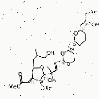 COC(=O)/C=C1\CC(CC(C)CO)O[C@@](O)(C(C)(C)/C=C/[C@H]2OCC[C@@H](C[C@H]3CCC[C@@H](C[C@@H](O)CC(C)=O)O3)O2)[C@H]1OC(C)=O